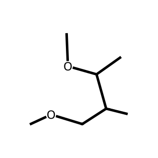 COC[C](C)C(C)OC